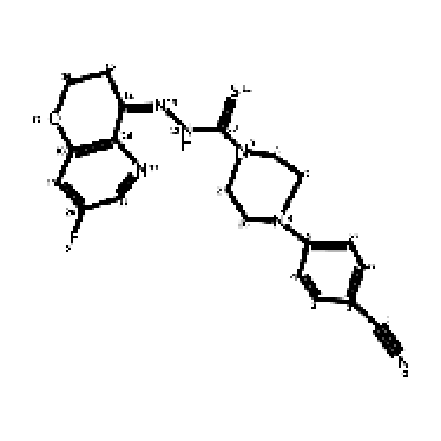 N#Cc1ccc(N2CCN(C(=S)N/N=C3/CCOc4cc(F)cnc43)CC2)cc1